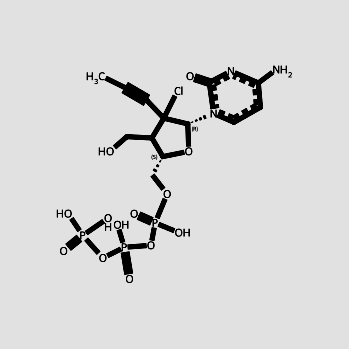 CC#CC1(Cl)C(CO)[C@@H](COP(=O)(O)OP(=O)(O)OP(=O)(O)O)O[C@H]1n1ccc(N)nc1=O